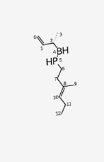 C=C[C@H](C)BPCC/C(C)=C/CC